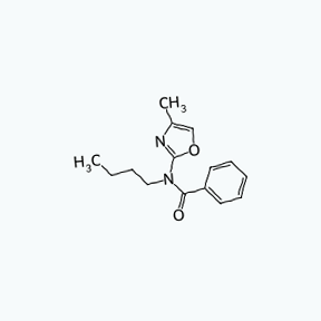 CCCCN(C(=O)c1ccccc1)c1nc(C)co1